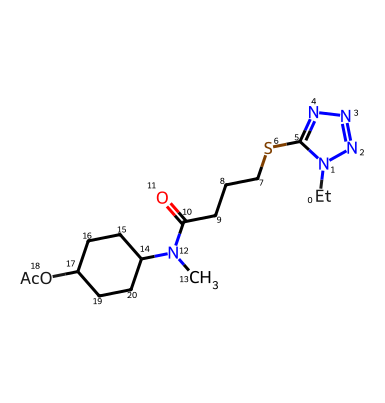 CCn1nnnc1SCCCC(=O)N(C)C1CCC(OC(C)=O)CC1